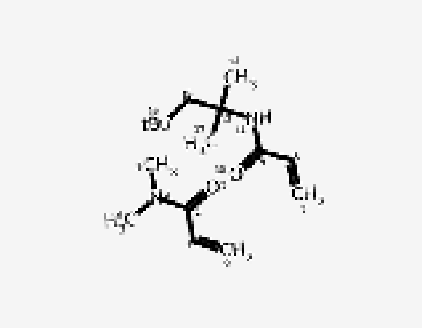 C=CC(=O)N(C)C.C=CC(=O)NC(C)(C)CC(C)(C)C